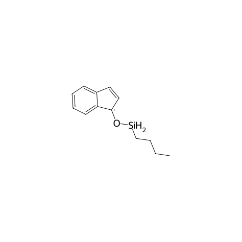 CCCC[SiH2]O[C]1C=Cc2ccccc21